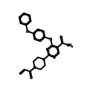 C=CC(=O)N1CCN(c2ncc(C(N)=O)c(Oc3ccc(Oc4ccccc4)cc3)n2)CC1